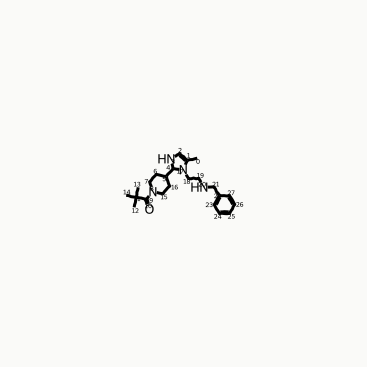 CC1=CNC(C2CCN(C(=O)C(C)(C)C)CC2)N1CCNCc1ccccc1